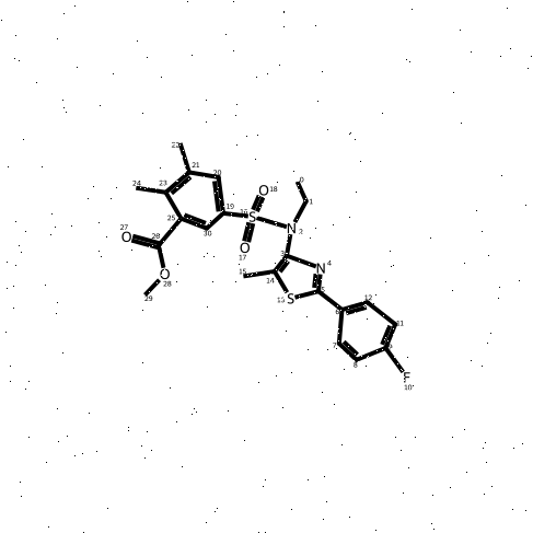 CCN(c1nc(-c2ccc(F)cc2)sc1C)S(=O)(=O)c1cc(C)c(C)c(C(=O)OC)c1